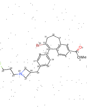 COC(=O)c1ccc2c(c1)CCCC(Br)=C2c1ccc(CC2CN(CCCF)C2)cc1